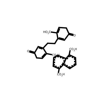 O=C(O)c1cccc2c(C(=O)O)cccc12.O=C1C=C(CCC2=CC(=O)CC=C2C(=O)O)C(C(=O)O)=CC1